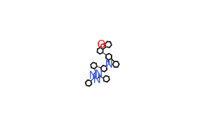 c1ccc(-c2nc(-c3ccccc3)nc(-c3ccccc3-c3cccc(-n4c5ccccc5c5ccc(-c6cccc7oc8ccccc8c67)cc54)c3)n2)cc1